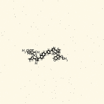 COC(=O)NC(C(=O)N1CC2(CC2)CC1c1nc(-c2ccc3cc(-c4ccc(-c5cnc(C6SCCN6C(=O)C(NC(=O)OC)C6CCOCC6)[nH]5)cc4)ccc3c2)c[nH]1)C(C)C